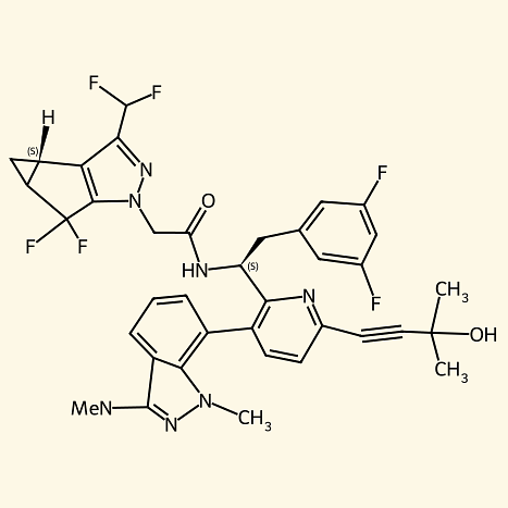 CNc1nn(C)c2c(-c3ccc(C#CC(C)(C)O)nc3[C@H](Cc3cc(F)cc(F)c3)NC(=O)Cn3nc(C(F)F)c4c3C(F)(F)C3C[C@H]43)cccc12